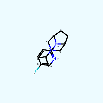 CC(C)N1CC2CCC(C1)N2c1ccc(F)cn1